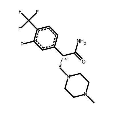 CN1CCN(C[C@@H](C(N)=O)c2ccc(C(F)(F)F)c(F)c2)CC1